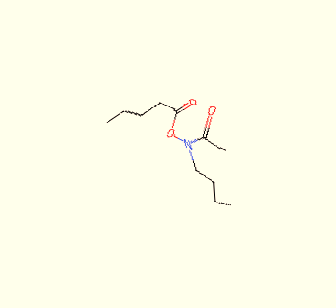 CCCCC(=O)ON(CCCC)C(C)=O